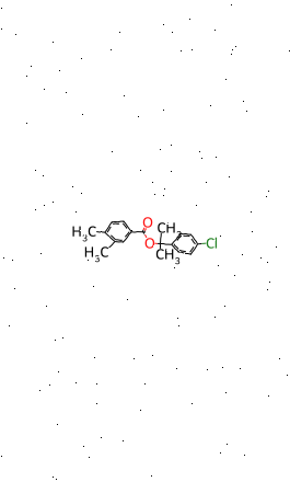 Cc1ccc(C(=O)OC(C)(C)c2ccc(Cl)cc2)cc1C